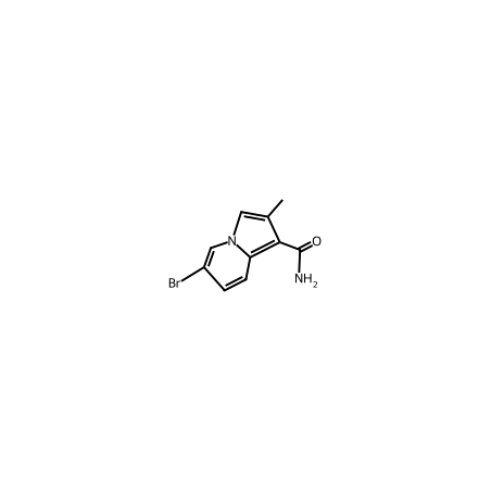 Cc1cn2cc(Br)ccc2c1C(N)=O